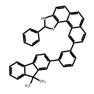 CC1(C)c2ccccc2-c2ccc(-c3cccc(-c4ccc5ccc6ccc7c(c6c5c4)SC(c4ccccc4)N7)c3)cc21